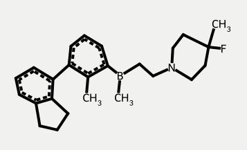 CB(CCN1CCC(C)(F)CC1)c1cccc(-c2cccc3c2CCC3)c1C